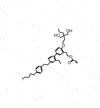 C=CC(=O)OCCc1cc(-c2ccc(CCc3ccc(CCCCC)cc3)cc2CC)ccc1OCCC(CO)(CO)CCC